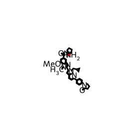 COc1cc(C(=O)N2CC3CCC2[C@@H]3N)cc2nc(-c3cc4ccc(-c5ccc(N6CCCC6=O)cc5)nc4n3CC3CC3)n(C)c12